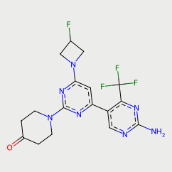 Nc1ncc(-c2cc(N3CC(F)C3)nc(N3CCC(=O)CC3)n2)c(C(F)(F)F)n1